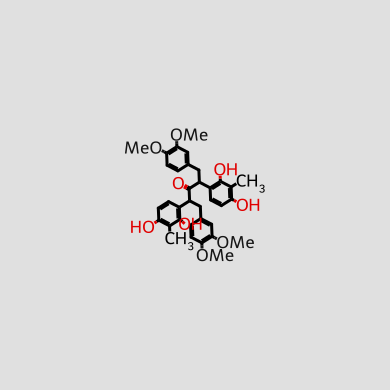 COc1ccc(CC(C(=O)C(Cc2ccc(OC)c(OC)c2)c2ccc(O)c(C)c2O)c2ccc(O)c(C)c2O)cc1OC